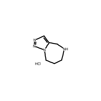 Cl.c1nnn2c1CNCCC2